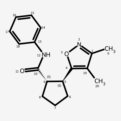 Cc1noc([C@H]2CCC[C@@H]2C(=O)Nc2ccccc2)c1C